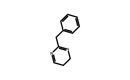 C1=NC(Cc2ccccc2)=NCC1